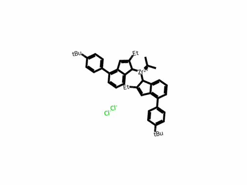 CCC1=Cc2c(-c3ccc(C(C)(C)C)cc3)cccc2[CH]1[Zr+2](=[C](C)C)[CH]1C(CC)=Cc2c(-c3ccc(C(C)(C)C)cc3)cccc21.[Cl-].[Cl-]